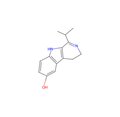 CC(C)C1=NCCc2c1[nH]c1ccc(O)cc21